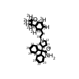 [2H]c1c([2H])c2c(c([2H])c1CCN1CC[C@@H](C(C(N)=O)(c3ccccc3)c3ccccc3)C1)C([2H])([2H])C([2H])([2H])O2